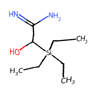 CC[Si](CC)(CC)C(O)C(=N)N